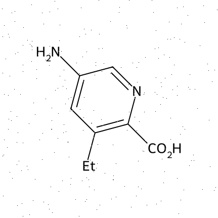 CCc1cc(N)cnc1C(=O)O